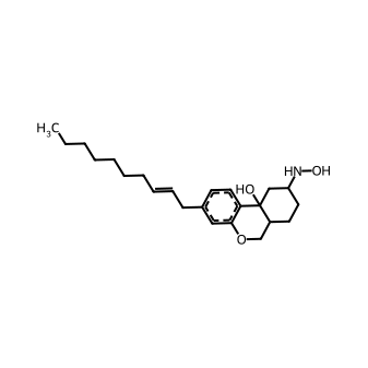 CCCCCCCC=CCc1ccc2c(c1)OCC1CCC(NO)CC21O